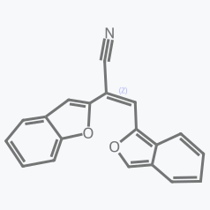 N#C/C(=C/c1occ2ccccc12)c1cc2ccccc2o1